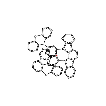 c1ccc2c(c1)Oc1ccccc1N2c1nc(N2c3ccccc3Oc3ccccc32)nc(-n2c3ccccc3c3ccc4c5ccccc5n(-c5ncc6ncncc6n5)c4c32)n1